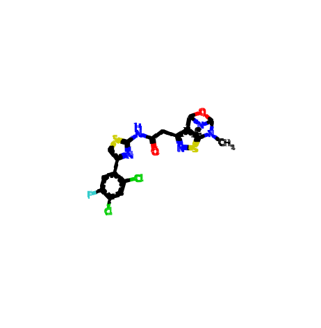 CN1c2snc(CC(=O)Nc3nc(-c4cc(F)c(Cl)cc4Cl)cs3)c2C2OC1N2C